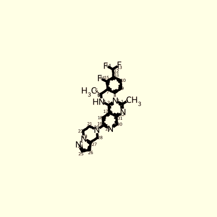 Cc1nc(N[C@H](C)c2cccc(C(F)F)c2F)c2cc(N3CCn4nccc4C3)ncc2n1